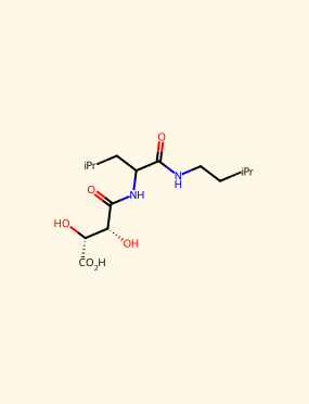 CC(C)CCNC(=O)C(CC(C)C)NC(=O)[C@H](O)[C@@H](O)C(=O)O